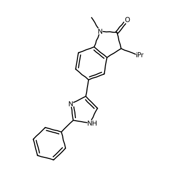 CC(C)C1C(=O)N(C)c2ccc(-c3c[nH]c(-c4ccccc4)n3)cc21